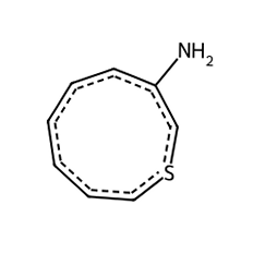 Nc1ccccccsc1